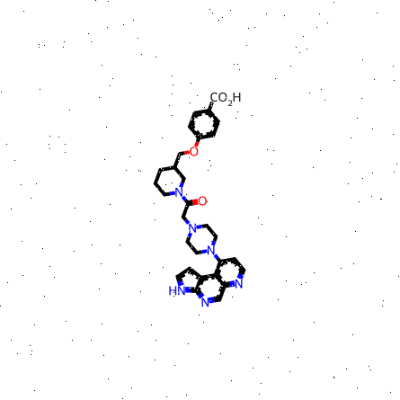 O=C(O)c1ccc(OCC2CCCN(C(=O)CN3CCN(c4ccnc5cnc6[nH]ccc6c45)CC3)C2)cc1